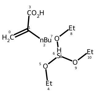 C=C(CCCC)C(=O)O.CCO[SiH](OCC)OCC